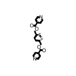 O=C(OCC1=CC=C(COC(=O)c2ccncc2)SS1)c1ccncc1